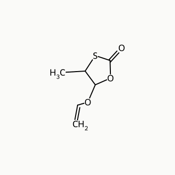 C=COC1OC(=O)SC1C